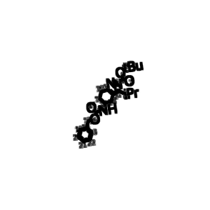 CC(C)c1c2c(nn1C(=O)OC(C)(C)C)CC[C@@H](NC(=O)OCc1ccccc1)C2